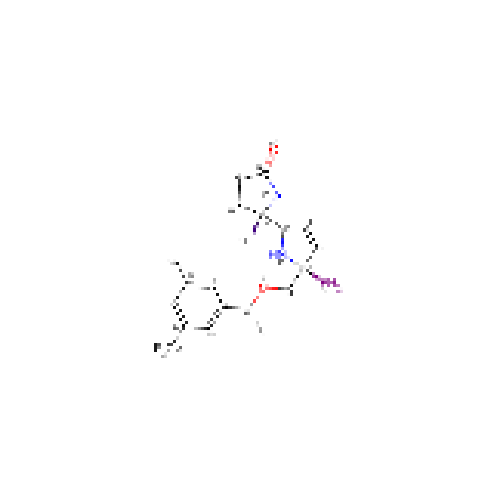 C=C[C@](P)(CO[C@H](C)c1cc(C)cc(C(F)(F)F)c1)NC[C@]1(I)CCC(=O)N1